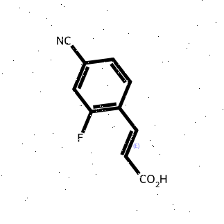 N#Cc1ccc(/C=C/C(=O)O)c(F)c1